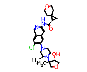 C[C@H]1CN(c2cc3cc(NC(=O)[C@@H]4CC45CCOCC5)ncc3cc2Cl)CCN1[C@@]1(C)COC[C@H]1O